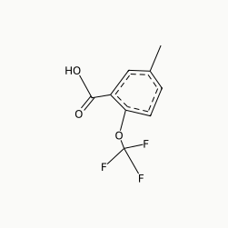 Cc1ccc(OC(F)(F)F)c(C(=O)O)c1